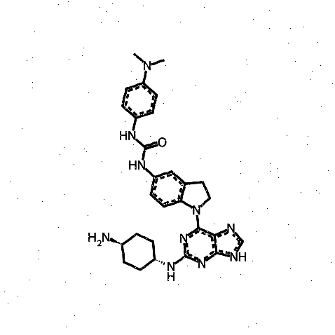 CN(C)c1ccc(NC(=O)Nc2ccc3c(c2)CCN3c2nc(N[C@H]3CC[C@H](N)CC3)nc3[nH]cnc23)cc1